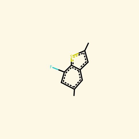 Cc1cc(F)c2sc(C)cc2c1